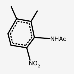 CC(=O)Nc1c([N+](=O)[O-])ccc(C)c1C